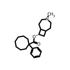 CN1CCC2C[C@H](OC(=O)C3(c4ccccc4)CCCCCCC3)C2CC1